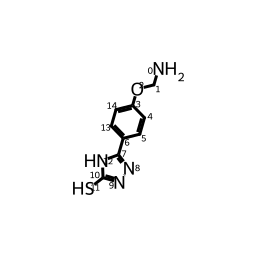 NCOc1ccc(-c2nnc(S)[nH]2)cc1